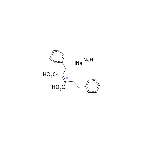 O=C(O)/C(CCc1ccccc1)=C(/Cc1ccccc1)C(=O)O.[NaH].[NaH]